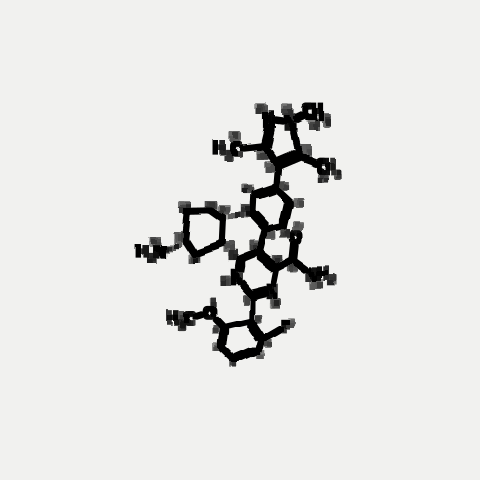 COc1cccc(F)c1-c1ncc(-c2ccc(-c3c(C)nn(C)c3C)cc2[C@H]2CC[C@@H](N)CC2)c(C(N)=O)n1